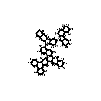 c1ccc2cc3c(cc2c1)c1cc(-n2c4ccccc4c4c5ccccc5ccc42)ccc1n3-c1cccc2cc(-c3nc4ccccc4nc3-c3ccc4c5ccccc5c5ccccc5c4c3)ccc12